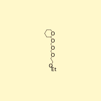 CCOCCOCOCOC1CCCCO1